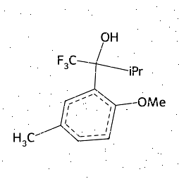 COc1ccc(C)cc1C(O)(C(C)C)C(F)(F)F